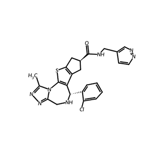 Cc1nnc2n1-c1sc3c(c1[C@H](c1ccccc1Cl)NC2)C[C@H](C(=O)NCc1ccnnc1)C3